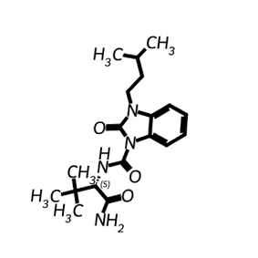 CC(C)CCn1c(=O)n(C(=O)N[C@H](C(N)=O)C(C)(C)C)c2ccccc21